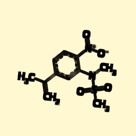 C=C(C)c1ccc([N+](=O)[O-])c(N(C)S(C)(=O)=O)c1